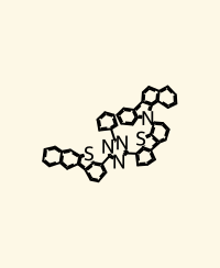 c1ccc(-c2nc(-c3cccc4c3sc3cc5ccccc5cc34)nc(-c3cccc4c3sc3c(-n5c6ccccc6c6ccc7ccccc7c65)cccc34)n2)cc1